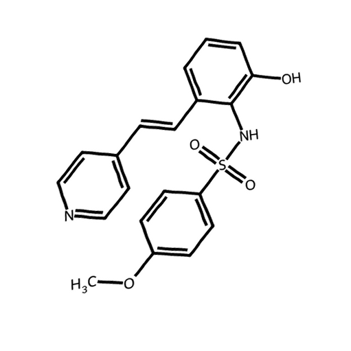 COc1ccc(S(=O)(=O)Nc2c(O)cccc2C=Cc2ccncc2)cc1